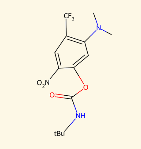 CN(C)c1cc(OC(=O)NC(C)(C)C)c([N+](=O)[O-])cc1C(F)(F)F